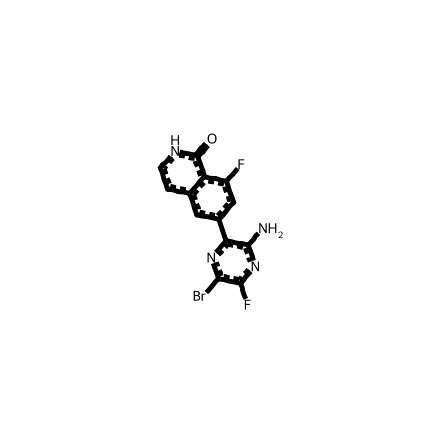 Nc1nc(F)c(Br)nc1-c1cc(F)c2c(=O)[nH]ccc2c1